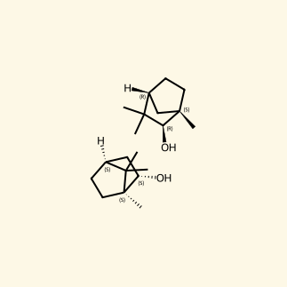 CC1(C)[C@@H]2CC[C@@](C)(C2)[C@H]1O.CC1(C)[C@H]2CC[C@]1(C)[C@@H](O)C2